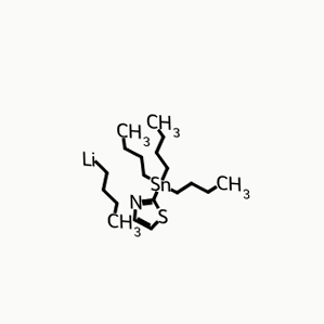 CCC[CH2][Sn]([CH2]CCC)([CH2]CCC)[c]1nccs1.[Li][CH2]CCC